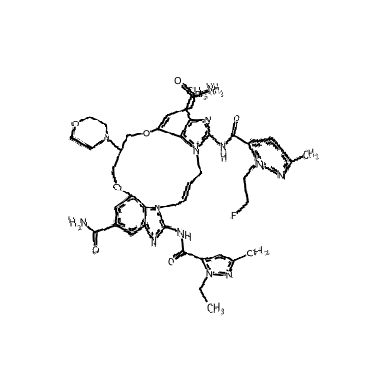 CCc1nc(NC(=O)c2cc(C)nn2CCF)n2c1/C(=C\CC(N)=O)OCC(N1CCOCC1)COc1cc(C(N)=O)cc3nc(NC(=O)c4cc(C)nn4CC)n(c13)C/C=C/C2